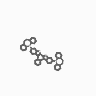 c1ccc2c(c1)CCc1ccccc1N2c1ccc2c(c1)sc1c3sc4cc(N5c6ccccc6CCc6ccccc65)ccc4c3c3ccccc3c21